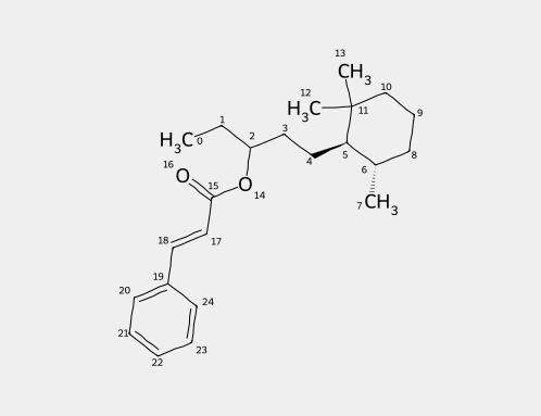 CCC(CC[C@@H]1[C@@H](C)CCCC1(C)C)OC(=O)/C=C/c1ccccc1